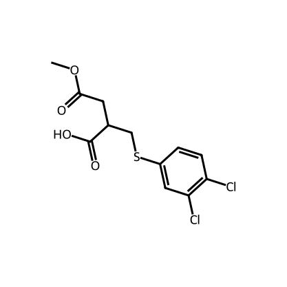 COC(=O)CC(CSc1ccc(Cl)c(Cl)c1)C(=O)O